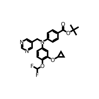 CC(C)(C)OC(=O)c1ccc(N(Cc2cncnc2)c2ccc(OC(F)F)c(OC3CC3)c2)cc1